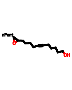 CCCCCC1OC1CCCCC#CCCCCCO